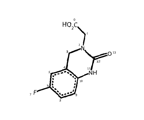 O=C(O)CN1Cc2cc(F)ccc2NC1=O